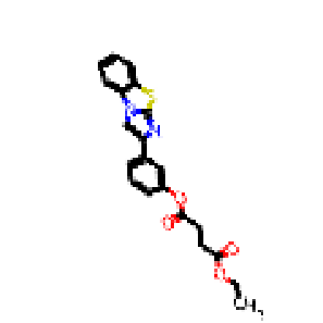 CCOC(=O)CCC(=O)Oc1cccc(-c2cn3c(n2)sc2ccccc23)c1